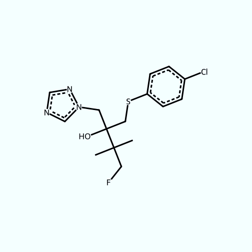 CC(C)(CF)C(O)(CSc1ccc(Cl)cc1)Cn1cncn1